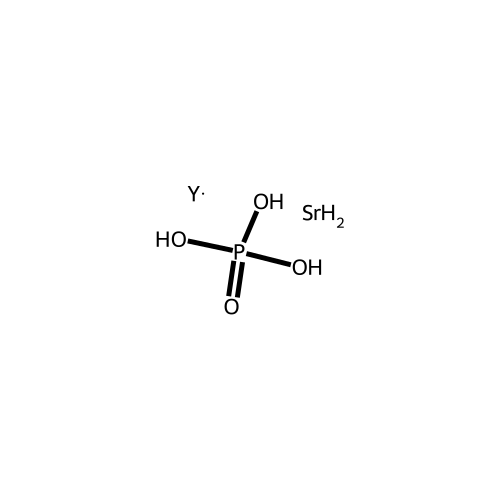 O=P(O)(O)O.[SrH2].[Y]